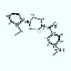 CCc1ccccc1N1CCN(C(=O)c2ccc(NC)cc2)CC1